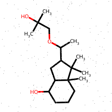 CC(OCC(C)(C)O)C1CC2C(O)CCCC2(C)C1(C)C